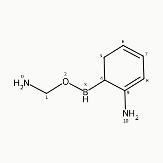 NCOBC1CC=CC=C1N